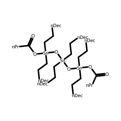 CCCCCCCCCCC[CH2][Sn]([CH2]CCCCCCCCCCC)([O]C(=O)CCC)[O][Sn]([CH2]CCCCCCCCCCC)([CH2]CCCCCCCCCCC)[O][Sn]([CH2]CCCCCCCCCCC)([CH2]CCCCCCCCCCC)[O]C(=O)CCC